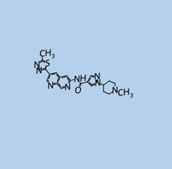 Cc1nnc(-c2cnc3cnc(NC(=O)c4cnn(C5CCN(C)CC5)c4)cc3c2)s1